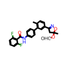 Cc1ccc(C2=NOC(C)(OC=O)C2)cc1-c1ccc(NC(=O)c2c(F)cccc2F)cc1